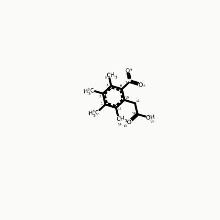 Cc1c(C)c(C)c(I(=O)=O)c(CC(=O)O)c1C